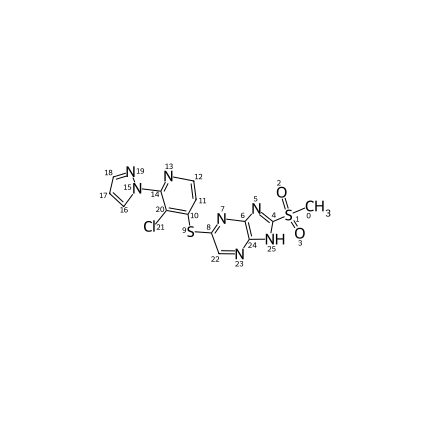 CS(=O)(=O)c1nc2nc(Sc3ccnc(-n4cccn4)c3Cl)cnc2[nH]1